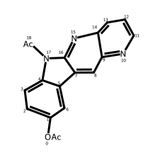 CC(=O)Oc1ccc2c(c1)c1cc3ncccc3nc1n2C(C)=O